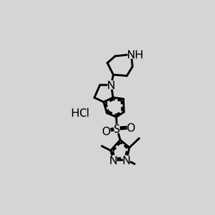 Cc1nn(C)c(C)c1S(=O)(=O)c1ccc2c(c1)CCN2C1CCNCC1.Cl